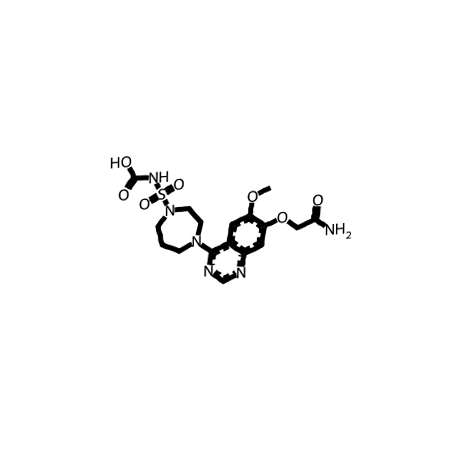 COc1cc2c(N3CCCN(S(=O)(=O)NC(=O)O)CC3)ncnc2cc1OCC(N)=O